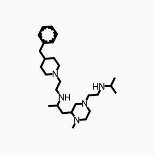 CC(C)NCCN1CCN(C)C(CC(C)NCCN2CCC(Cc3ccccc3)CC2)C1